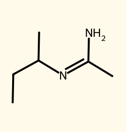 CCC(C)N=C(C)N